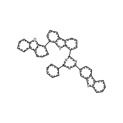 c1ccc(-c2nc(-c3ccc4c(c3)sc3ccccc34)nc(-c3cccc4c3sc3c(-c5cccc6c5oc5ccccc56)cccc34)n2)cc1